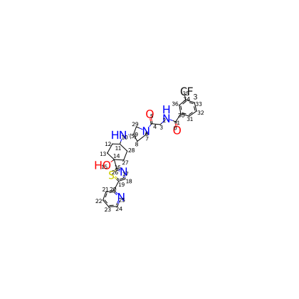 O=C(NCC(=O)N1CC[C@H](NC2CCC(O)(c3ncc(-c4ccccn4)s3)CC2)C1)c1cccc(C(F)(F)F)c1